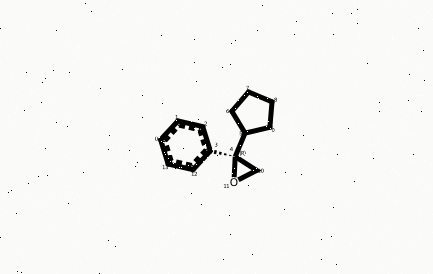 c1ccc([C@]2(C3CCCC3)CO2)cc1